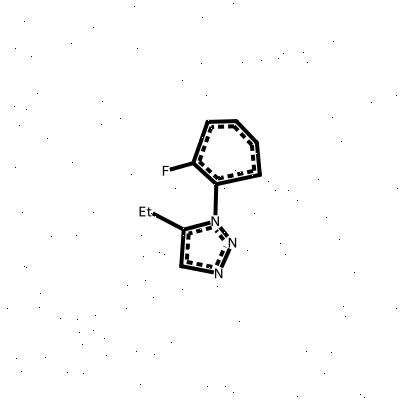 CCc1cnnn1-c1ccccc1F